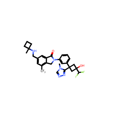 Cn1cnnc1C1(c2cccc(N3Cc4c(cc(CNC5(C)CCC5)cc4C(F)(F)F)C3=O)c2)CC(O)(C(F)F)C1